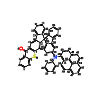 O=c1c2ccccc2sc2cc3c(cc12)-c1ccccc1C31c2ccccc2-c2cc(N(c3ccccc3)c3ccc4ccc5cccc6ccc3c4c56)ccc21